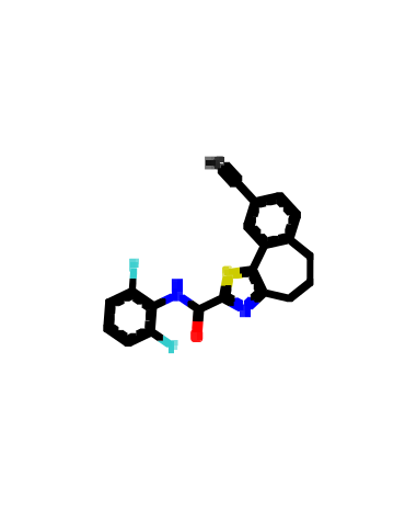 C#Cc1ccc2c(c1)-c1sc(C(=O)Nc3c(F)cccc3F)nc1CCC2